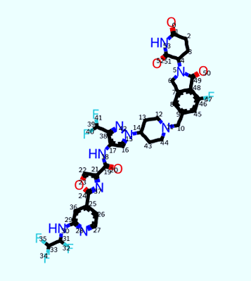 O=C1CCC(N2Cc3cc(CN4CCC(n5cc(NC(=O)c6coc(-c7ccnc(NC(F)C(F)F)c7)n6)c(C(F)F)n5)CC4)cc(F)c3C2=O)C(=O)N1